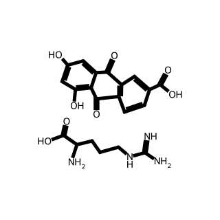 N=C(N)NCCCC(N)C(=O)O.O=C(O)c1ccc2c(c1)C(=O)c1cc(O)cc(O)c1C2=O